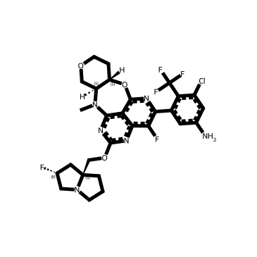 CN1c2nc(OC[C@@]34CCCN3C[C@H](F)C4)nc3c(F)c(-c4cc(N)cc(Cl)c4C(F)(F)F)nc(c23)O[C@H]2CCOC[C@@H]21